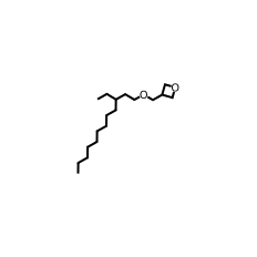 CCCCCCCCCC(CC)CCOCC1COC1